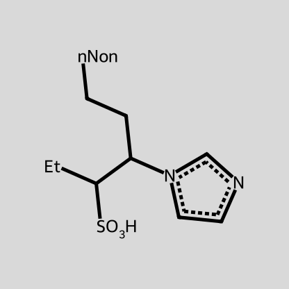 CCCCCCCCCCCC(C(CC)S(=O)(=O)O)n1ccnc1